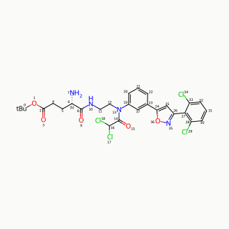 CC(C)(C)OC(=O)CC[C@H](N)C(=O)NCCN(C(=O)C(Cl)Cl)c1cccc(-c2cc(-c3c(Cl)cccc3Cl)no2)c1